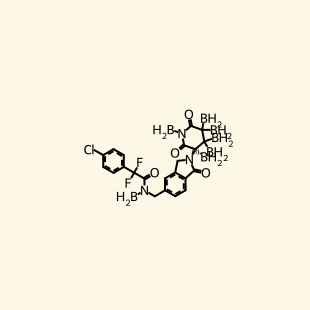 BN(Cc1ccc2c(c1)CN([C@@]1(B)C(=O)N(B)C(=O)C(B)(B)C1(B)B)C2=O)C(=O)C(F)(F)c1ccc(Cl)cc1